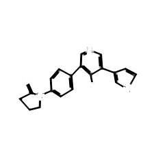 Cc1c(-c2ccc(N3CCCC3=O)cc2)cncc1-c1cc[nH]c1